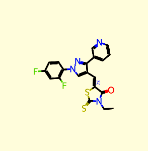 CCN1C(=O)/C(=C/c2cn(-c3ccc(F)cc3F)nc2-c2cccnc2)SC1=S